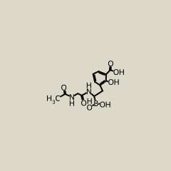 CC(=O)NCC(=O)NC(Cc1cccc(C(=O)O)c1O)B(O)O